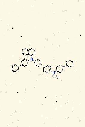 CN(c1ccc(-c2ccccc2)cc1)c1ccc(-c2ccc(N(c3ccc(-c4ccccc4)cc3)c3cccc4ccccc34)cc2)cc1